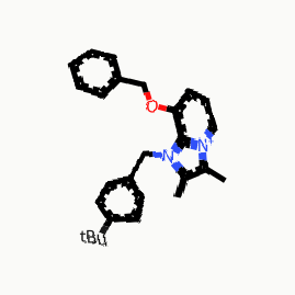 Cc1c(C)[n+]2cccc(OCc3ccccc3)c2n1Cc1ccc(C(C)(C)C)cc1